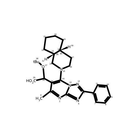 Cc1nc2nc(-c3ccccc3)nn2c(N2CC[C@H]3CCCC[C@H]3C2)c1C(OC(C)(C)C)C(=O)O